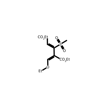 CCO/C=C(C(=O)OCC)/C(=C/C(=O)OCC)S(C)(=O)=O